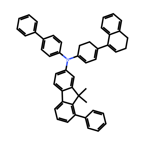 CC1(C)c2cc(N(C3=CC=C(C4=CCCc5ccccc54)CC3)c3ccc(-c4ccccc4)cc3)ccc2-c2cccc(-c3ccccc3)c21